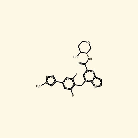 Cn1cc(-c2cc(F)c(Cc3cc(C(=O)N[C@H]4COCC[C@@H]4O)nc4ccsc34)c(F)c2)cn1